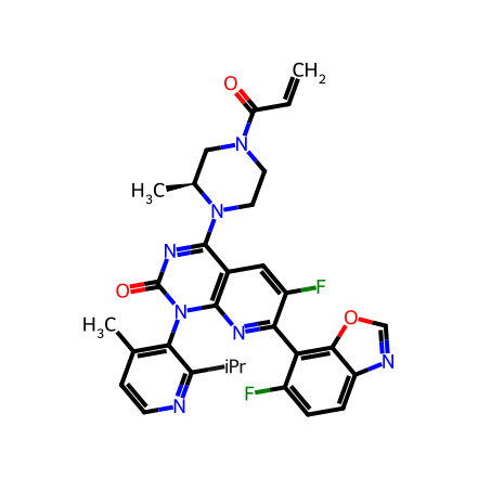 C=CC(=O)N1CCN(c2nc(=O)n(-c3c(C)ccnc3C(C)C)c3nc(-c4c(F)ccc5ncoc45)c(F)cc23)[C@@H](C)C1